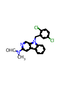 CN(C=O)c1cc2c3ccccc3n(Cc3cc(Cl)ccc3Cl)c2cn1